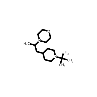 CC(CC1CCN(C(C)(C)C)CC1)N1CCOCC1